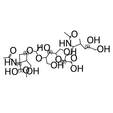 CO[C@H](O)[C@@]1(NC(C)=O)C[C@H](OC(C)OC(CO)[C@H](O)C(CO)O[C@@](C)(CCC(NC(C)=O)C(C)C[C@H](O)CO)C(=O)O)C1CO